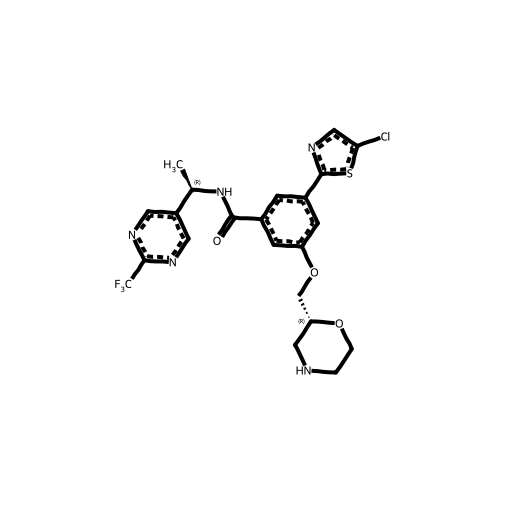 C[C@@H](NC(=O)c1cc(OC[C@H]2CNCCO2)cc(-c2ncc(Cl)s2)c1)c1cnc(C(F)(F)F)nc1